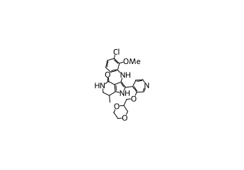 COc1c(Cl)cccc1Nc1c(-c2ccncc2OCC2COCCO2)[nH]c2c1C(=O)NCC2C